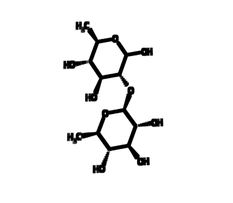 C[C@H]1O[C@@H](O[C@H]2C(O)O[C@H](C)[C@@H](O)[C@@H]2O)[C@H](O)[C@@H](O)[C@@H]1O